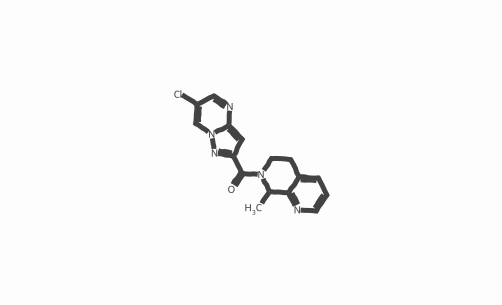 CC1c2ncccc2CCN1C(=O)c1cc2ncc(Cl)cn2n1